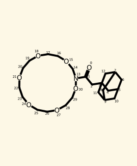 O=C(CC12CC3CC(CC(C3)C1)C2)N1COCCOCCOCCOCCOCCO1